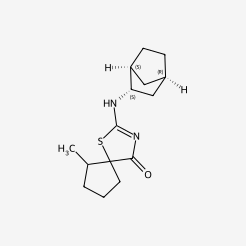 CC1CCCC12SC(N[C@H]1C[C@@H]3CC[C@H]1C3)=NC2=O